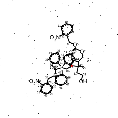 C[C@@H](OC(=O)OCc1ccccc1[N+](=O)[O-])C1C(=O)N(CP(C(=O)OCc2ccccc2[N+](=O)[O-])(c2ccccc2)(c2ccccc2)c2ccccc2)C1(C)CCO